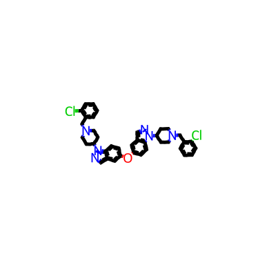 Clc1ccccc1CN1CCC(n2ncc3cc(Oc4ccc5c(cnn5C5CCN(Cc6ccccc6Cl)CC5)c4)ccc32)CC1